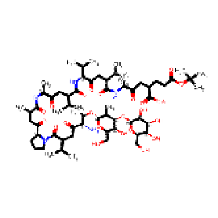 CC(CC(=O)[C@@H]1CCCN1C(=O)C(CC(=O)[C@@H](N)C(C)O[C@H]1OC(CO)[C@H](O)[C@H](O[C@@H]2OC(CO)[C@H](O)[C@H](O)C2O)C1C)C(C)C)C(=O)N[C@@H](C)C(=O)CC(C(=O)N[C@H](C(=O)CC(C(=O)N[C@@H](C)C(=O)CC(CCC(=O)OC(C)(C)C)C(=O)O)C(C)C)C(C)C)C(C)C